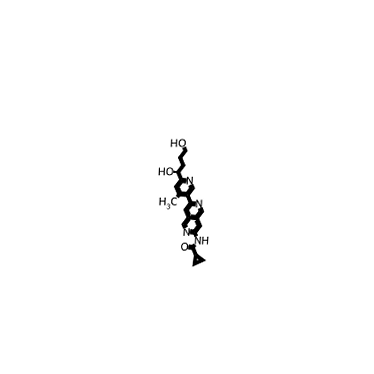 Cc1cc([C@@H](O)CCCO)ncc1-c1cc2cnc(NC(=O)C3CC3)cc2cn1